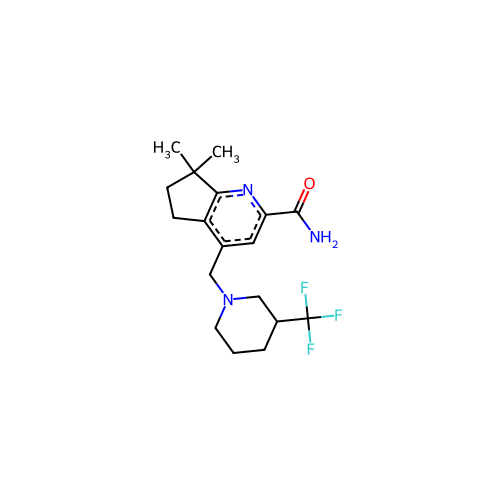 CC1(C)CCc2c(CN3CCCC(C(F)(F)F)C3)cc(C(N)=O)nc21